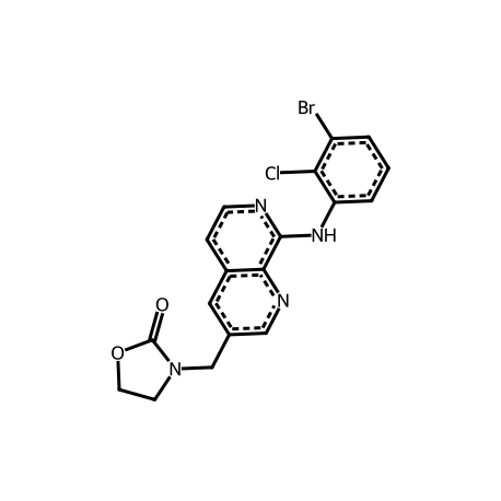 O=C1OCCN1Cc1cnc2c(Nc3cccc(Br)c3Cl)nccc2c1